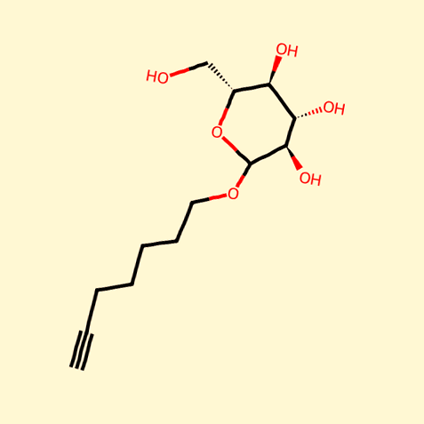 C#CCCCCCOC1O[C@H](CO)[C@@H](O)[C@H](O)[C@H]1O